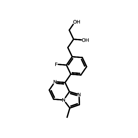 Cc1cnc2c(-c3cccc(CC(O)CO)c3F)nccn12